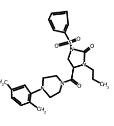 CCCN1C(=O)N(S(=O)(=O)c2ccccc2)CC1C(=O)N1CCN(c2cc(C)ccc2C)CC1